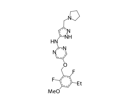 CCc1cc(OC)c(F)c(COc2cnc(Nc3cc(CN4CCCC4)n[nH]3)nc2)c1F